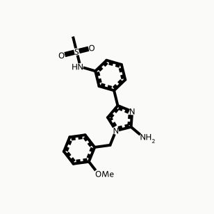 COc1ccccc1Cn1cc(-c2cccc(NS(C)(=O)=O)c2)nc1N